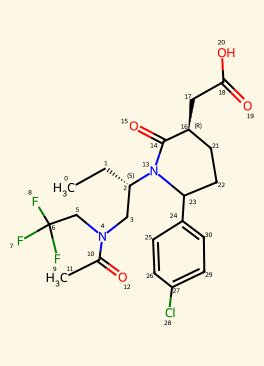 CC[C@@H](CN(CC(F)(F)F)C(C)=O)N1C(=O)[C@@H](CC(=O)O)CCC1c1ccc(Cl)cc1